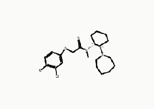 CN(C(=O)COc1ccc(Cl)c(Cl)c1)[C@@H]1CCCC[C@H]1N1CCCCCC1